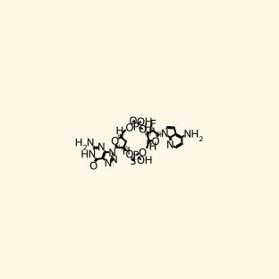 Nc1nc2c(nnn2[C@@H]2O[C@@H]3COP(=O)(O)O[C@H]4[C@H](F)[C@H](n5ccc6c(N)ccnc65)O[C@@H]4COP(O)(=S)O[C@@H]2C3)c(=O)[nH]1